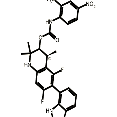 C[C@H]1c2c(cc(F)c(-c3cccc4cc[nH]c34)c2F)NC(C)(C)C1OC(=O)Nc1ccc([N+](=O)[O-])cc1C(F)(F)F